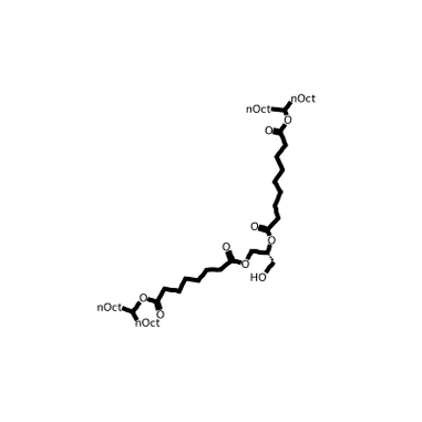 CCCCCCCCC(CCCCCCCC)OC(=O)CCCCCCCC(=O)O[C@H](CO)COC(=O)CCCCCCC(=O)OC(CCCCCCCC)CCCCCCCC